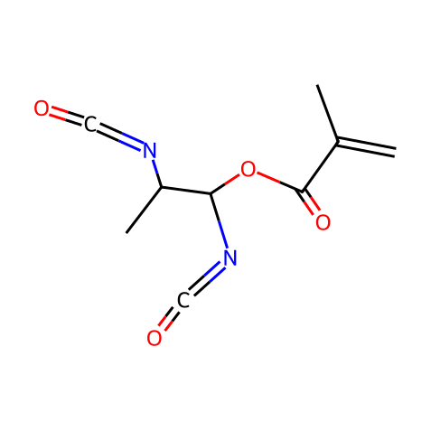 C=C(C)C(=O)OC(N=C=O)C(C)N=C=O